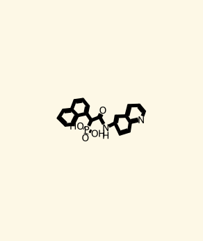 O=C(Nc1ccc2ncccc2c1)C(c1cccc2ccccc12)P(=O)(O)O